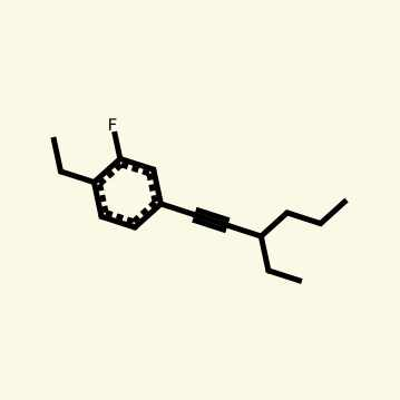 CCCC(C#Cc1ccc(CC)c(F)c1)CC